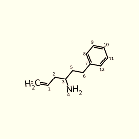 C=CCC(N)CCc1ccccc1